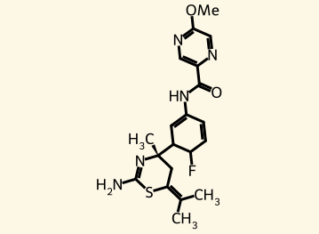 COc1cnc(C(=O)NC2=CC([C@]3(C)CC(=C(C)C)SC(N)=N3)C(F)C=C2)cn1